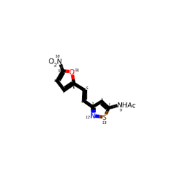 CC(=O)Nc1cc(/C=C/c2ccc([N+](=O)[O-])o2)ns1